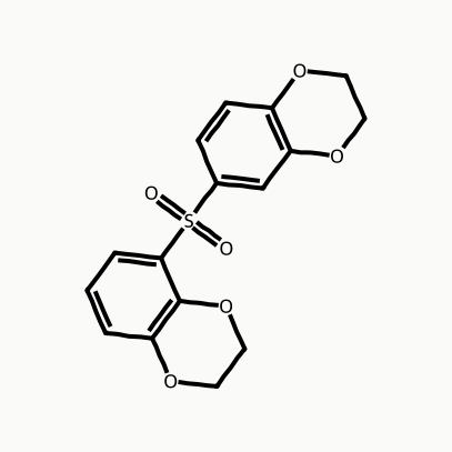 O=S(=O)(c1ccc2c(c1)OCCO2)c1cccc2c1OCCO2